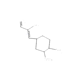 C=C/C(=C/C1CCC(N)C(NC)C1)CCC